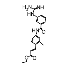 CCOC(=O)C=Cc1ccc(NC(=O)c2cccc(NC(=N)N)c2)cc1C